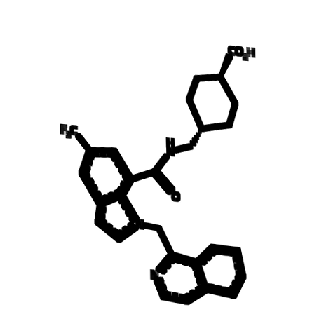 O=C(NC[C@H]1CC[C@H](C(=O)O)CC1)c1cc(C(F)(F)F)cc2ccn(Cc3nccc4ccccc34)c12